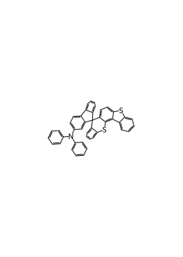 c1ccc(N(c2ccccc2)c2ccc3c(c2)C2(c4ccccc4Sc4c2ccc2sc5ccccc5c42)c2ccccc2-3)cc1